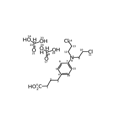 O=C(O)CCCc1ccc(N(CCCl)CCCl)cc1.O=[PH](O)O.O=[PH](O)O